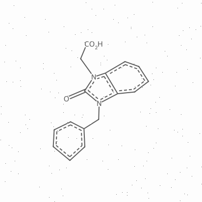 O=C(O)Cn1c(=O)n(Cc2ccccc2)c2ccccc21